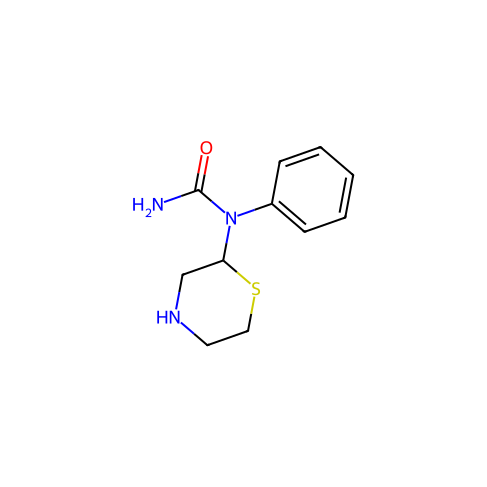 NC(=O)N(c1ccccc1)C1CNCCS1